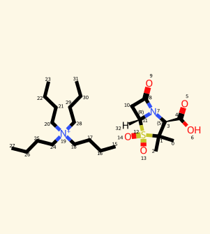 CC1(C)[C@H](C(=O)O)N2C(=O)C[C@H]2S1(=O)=O.CCCC[N+](CCCC)(CCCC)CCCC